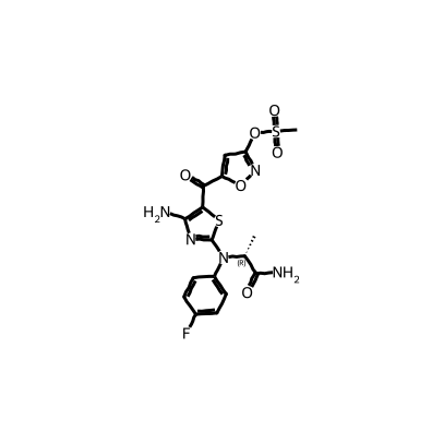 C[C@H](C(N)=O)N(c1ccc(F)cc1)c1nc(N)c(C(=O)c2cc(OS(C)(=O)=O)no2)s1